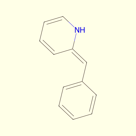 C1=CNC(=Cc2ccccc2)C=C1